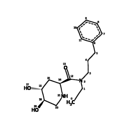 CCN(CCCc1ccccc1)C(=O)[C@@H]1C[C@@H](O)[C@H](O)CN1